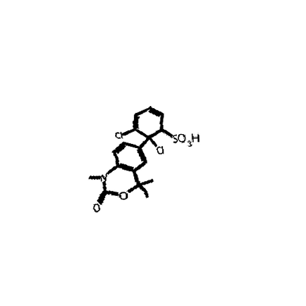 CN1C(=O)OC(C)(C)c2cc(C3(Cl)C(Cl)=CC=CC3S(=O)(=O)O)ccc21